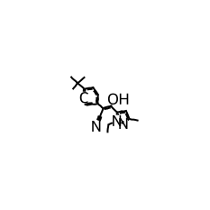 CCn1nc(C)cc1/C(O)=C(\C#N)c1ccc(C(C)(C)C)cc1